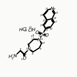 C[C@H]1CN(C(=O)CN)CCCN1S(=O)(=O)c1ccc2cnccc2c1.Cl.Cl